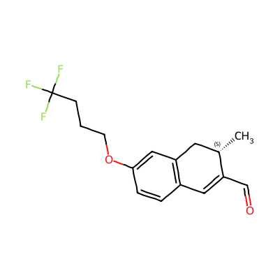 C[C@H]1Cc2cc(OCCCC(F)(F)F)ccc2C=C1C=O